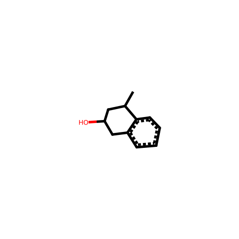 CC1CC(O)Cc2ccccc21